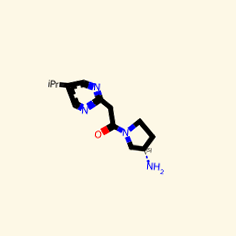 CC(C)c1cnc(CC(=O)N2CC[C@H](N)C2)nc1